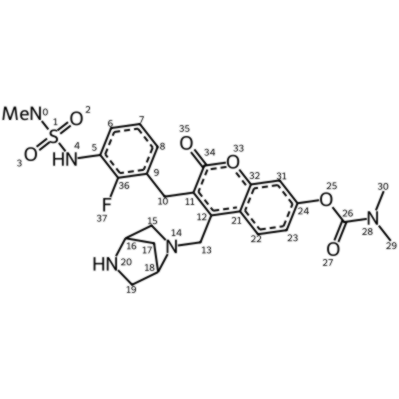 CNS(=O)(=O)Nc1cccc(Cc2c(CN3CC4CC3CN4)c3ccc(OC(=O)N(C)C)cc3oc2=O)c1F